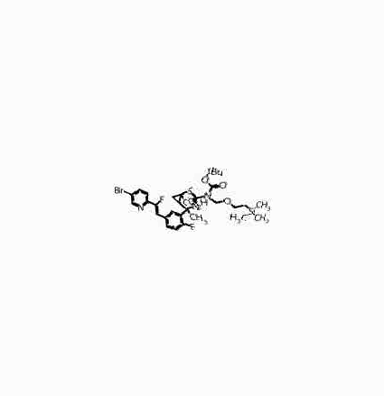 CC(C)(C)OC(=O)N(COCC[Si](C)(C)C)C1=NC(C)(c2cc(C=C(F)c3ccc(Br)cn3)ccc2F)C2CC2(C(=O)O)S1